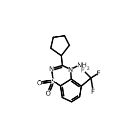 NN1C(C2CCCC2)=NS(=O)(=O)c2cccc(C(F)(F)F)c21